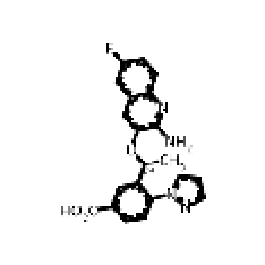 C[C@H](Oc1cc2cc(F)ccc2nc1N)c1cc(C(=O)O)ccc1-n1cccn1